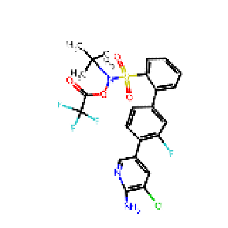 CC(C)(C)N(OC(=O)C(F)(F)F)S(=O)(=O)c1ccccc1-c1ccc(-c2cnc(N)c(Cl)c2)c(F)c1